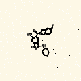 O=C(c1cc2c(NC3CCCCC3)n[nH]c2cc1O)N1Cc2ccc(F)cc2C1